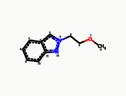 COCCn1cc2ccccc2n1